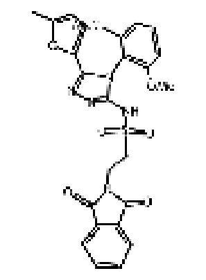 COc1cccc(OC)c1-n1c(NS(=O)(=O)CCN2C(=O)c3ccccc3C2=O)nnc1-c1ccc(C)o1